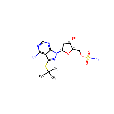 CC(C)(C)Sc1nn([C@H]2C[C@H](O)[C@@H](COS(N)(=O)=O)O2)c2ncnc(N)c12